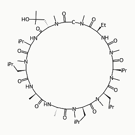 CC[C@H]1NC(=O)N(C)C(=O)[C@@H](C(C)C)N(C)C(=O)[C@@H](CC(C)C)N(C)C(=O)[C@@H](CC(C)C)N(C)C(=O)[C@H](C)NC(=O)[C@@H](C)NC(=O)[C@@H](CC(C)C)N(C)C(=O)C(C(C)C)NC(=O)[C@H](CC(C)(C)O)N(C)C(=O)CN(C)C1=O